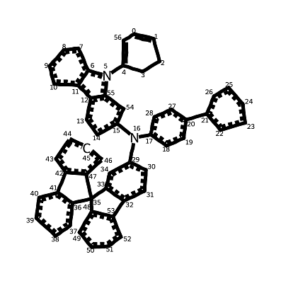 C1=CCCC(n2c3ccccc3c3ccc(N(c4ccc(-c5ccccc5)cc4)c4ccc5c(c4)C4(c6ccccc6-c6ccccc64)c4ccccc4-5)cc32)=C1